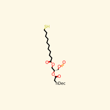 CCCCCCCCCCCC(=O)O[C@@H](COP=O)COC(=O)CCCCCCCCCCS